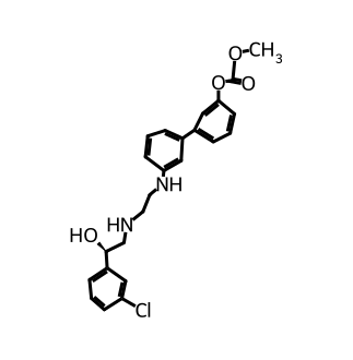 COC(=O)Oc1cccc(-c2cccc(NCCNC[C@H](O)c3cccc(Cl)c3)c2)c1